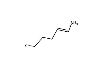 CC=CCCCCl